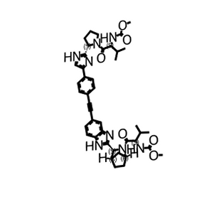 COC(=O)N[C@H](C(=O)N1CCC[C@H]1c1nc(-c2ccc(C#Cc3ccc4[nH]c([C@@H]5[C@H]6CC[C@H](C6)N5C(=O)[C@@H](NC(=O)OC)C(C)C)nc4c3)cc2)c[nH]1)C(C)C